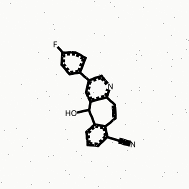 N#Cc1cccc2c1C=Cc1ncc(-c3ccc(F)cc3)cc1C2O